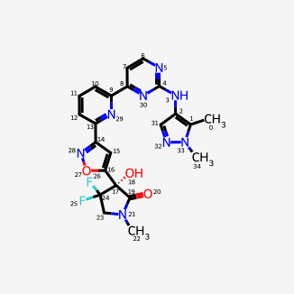 Cc1c(Nc2nccc(-c3cccc(-c4cc([C@@]5(O)C(=O)N(C)CC5(F)F)on4)n3)n2)cnn1C